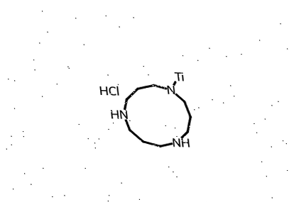 Cl.[Ti][N]1CCCNCCCNCCC1